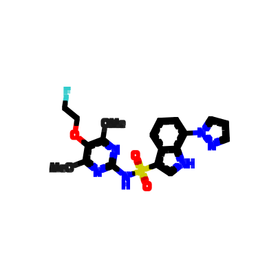 COc1nc(NS(=O)(=O)c2c[nH]c3c(-n4cccn4)cccc23)nc(OC)c1OCCF